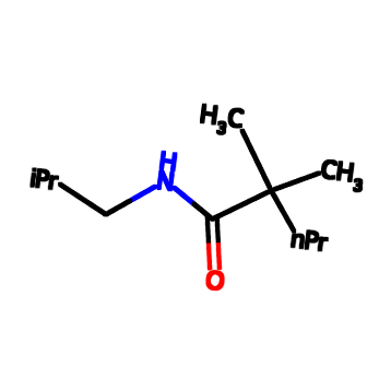 CCCC(C)(C)C(=O)NCC(C)C